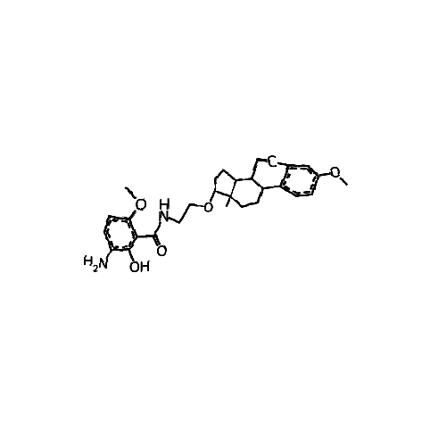 COc1ccc2c(c1)CCC1C2CCC2(C)C(OCCNC(=O)c3c(OC)ccc(N)c3O)CCC12